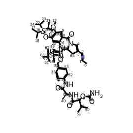 C/C=C/C1=CN(C(=O)c2cc(OC)c(O[Si](C(C)C)(C(C)C)C(C)C)cc2NC(=O)OCc2ccc(NC(=O)[C@H](C)NC(=O)[C@@H](OC(N)=O)C(C)C)cc2)[C@H](CO[Si](C)(C)C(C)(C)C)C1